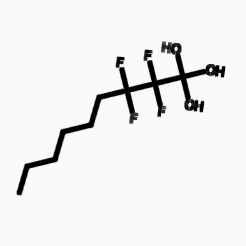 CCCCCCC(F)(F)C(F)(F)C(O)(O)O